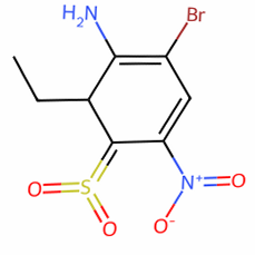 CCC1C(N)=C(Br)C=C([N+](=O)[O-])C1=S(=O)=O